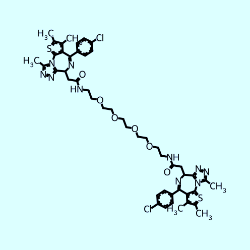 Cc1sc2c(c1C)C(c1ccc(Cl)cc1)=NC(CC(=O)NCCOCCOCCOCCOCCNC(=O)CC1N=C(c3ccc(Cl)cc3)c3c(sc(C)c3C)-n3c(C)nnc31)c1nnc(C)n1-2